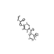 C=CC(=O)Oc1ccc(C(=O)c2ccccc2Cl)cc1